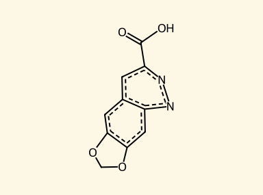 O=C(O)c1cc2cc3c(cc2nn1)OCO3